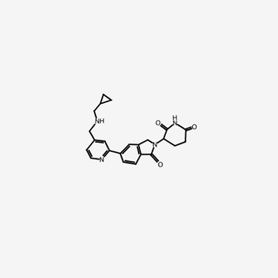 O=C1CCC(N2Cc3cc(-c4cc(CNCC5CC5)ccn4)ccc3C2=O)C(=O)N1